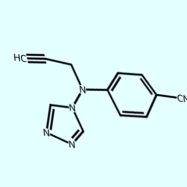 C#CCN(c1ccc(C#N)cc1)n1cnnc1